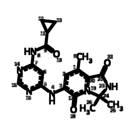 Cc1cc(Nc2cc(NC(=O)C3CC3)ncn2)c(=O)n2c1C(=O)NC2(C)C